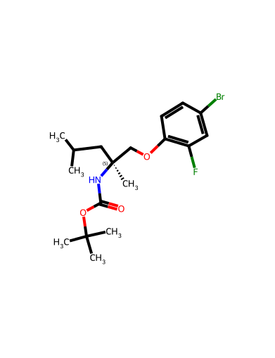 CC(C)C[C@@](C)(COc1ccc(Br)cc1F)NC(=O)OC(C)(C)C